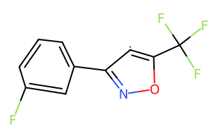 Fc1cccc(-c2[c]c(C(F)(F)F)on2)c1